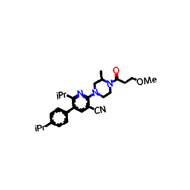 COCCC(=O)N1CCN(c2nc(C(C)C)c(-c3ccc(C(C)C)cc3)cc2C#N)CC1C